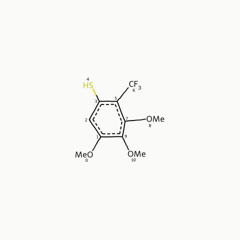 COc1cc(S)c(C(F)(F)F)c(OC)c1OC